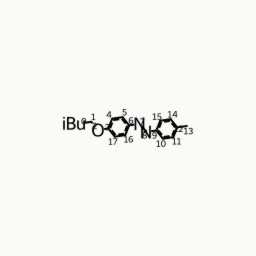 CCC(C)COc1ccc(N=Nc2ccc(C)cc2)cc1